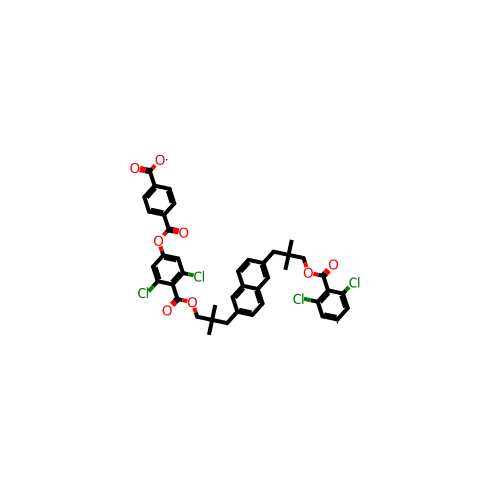 CC(C)(COC(=O)c1c(Cl)c[c]cc1Cl)Cc1ccc2cc(CC(C)(C)COC(=O)c3c(Cl)cc(OC(=O)c4ccc(C([O])=O)cc4)cc3Cl)ccc2c1